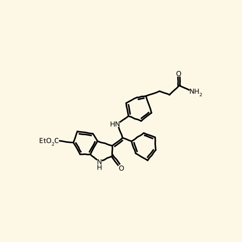 CCOC(=O)c1ccc2c(c1)NC(=O)/C2=C(/Nc1ccc(CCC(N)=O)cc1)c1ccccc1